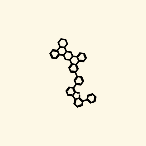 c1ccc(-c2cccc3c2sc2c(-c4cccc(-c5ccc6c(c5)-c5ccccc5C5CC7C(CC65)c5ccccc5C5CCCCC57)c4)cccc23)cc1